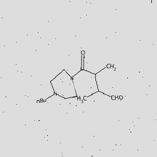 CCCCN1CCN(C(=O)C(C)C(C)C=O)CC1